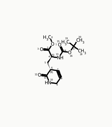 COC(=O)[C@H](C[C@@H]1C#CCNC1=O)NC(=O)OC(C)(C)C